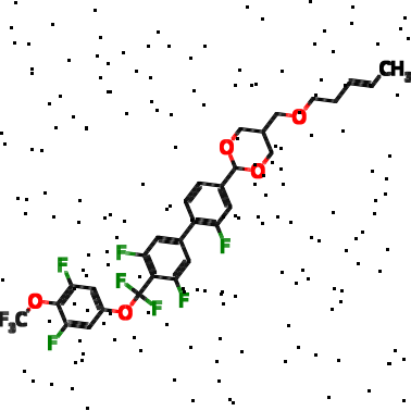 C/C=C/CCOCC1COC(c2ccc(-c3cc(F)c(C(F)(F)Oc4cc(F)c(OC(F)(F)F)c(F)c4)c(F)c3)c(F)c2)OC1